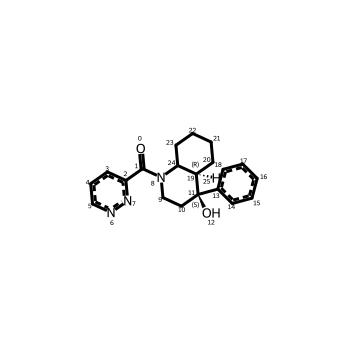 O=C(c1cccnn1)N1CC[C@@](O)(c2ccccc2)[C@@H]2CCCCC21